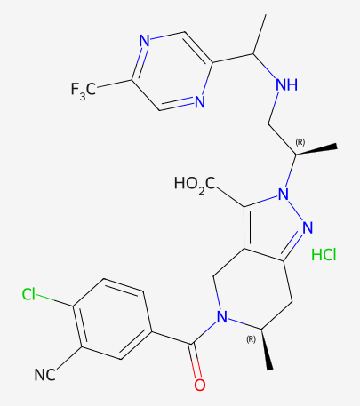 CC(NC[C@@H](C)n1nc2c(c1C(=O)O)CN(C(=O)c1ccc(Cl)c(C#N)c1)[C@H](C)C2)c1cnc(C(F)(F)F)cn1.Cl